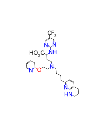 O=C(O)[C@H](CCN(CCCCc1ccc2c(n1)NCCC2)CCOc1ccccn1)Nc1ncc(C(F)(F)F)cn1